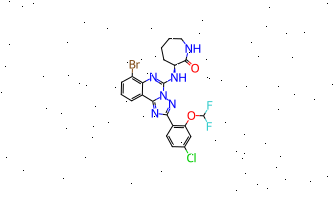 O=C1NCCCC[C@@H]1Nc1nc2c(Br)cccc2c2nc(-c3ccc(Cl)cc3OC(F)F)nn12